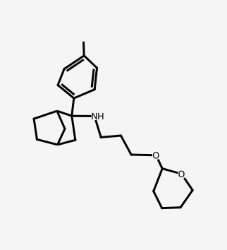 Cc1ccc(C2(NCCCOC3CCCCO3)CC3CCC2C3)cc1